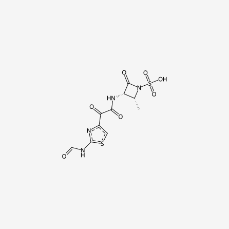 C[C@@H]1[C@H](NC(=O)C(=O)c2csc(NC=O)n2)C(=O)N1S(=O)(=O)O